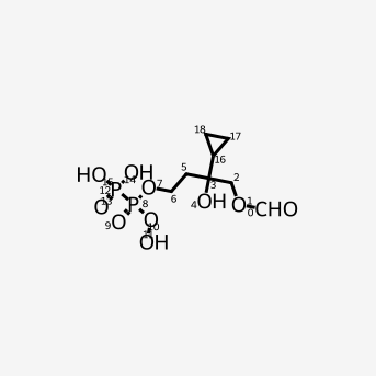 O=COCC(O)(CCOP(=O)(OO)P(=O)(O)O)C1CC1